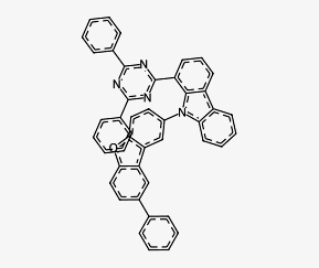 c1ccc(-c2ccc3oc4ccc(-n5c6ccccc6c6cccc(-c7nc(-c8ccccc8)nc(-c8ccccc8)n7)c65)cc4c3c2)cc1